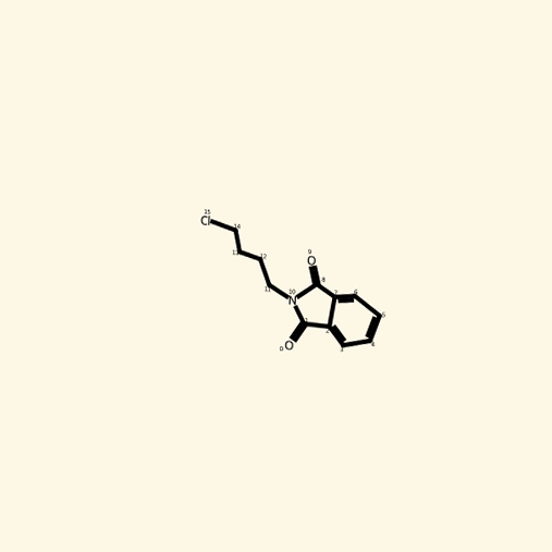 O=C1c2ccccc2C(=O)N1CCCCCl